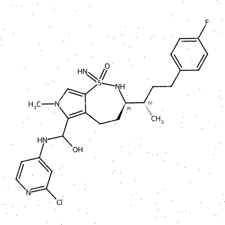 C[C@@H](CCc1ccc(F)cc1)[C@H]1CCc2c(cn(C)c2C(O)Nc2ccnc(Cl)c2)S(=N)(=O)N1